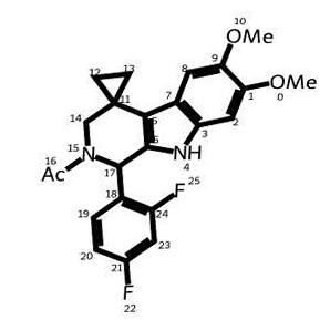 COc1cc2[nH]c3c(c2cc1OC)C1(CC1)CN(C(C)=O)C3c1ccc(F)cc1F